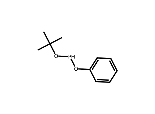 CC(C)(C)OPOc1ccccc1